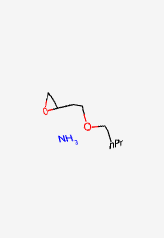 CCCCOCC1CO1.N